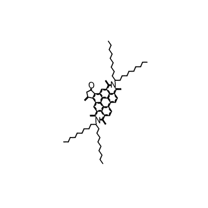 C=C1CC(=O)c2c1c1cc3c(=C)n(C(CCCCCCCCC)CCCCCCCCC)c(=C)c4ccc5c6ccc7c(=C)n(C(CCCCCCCCC)CCCCCCCCC)c(=C)c8cc2c(c1c5c43)c6c78